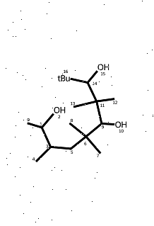 CC(O)C(C)CC(C)(C)C(O)C(C)(C)C(O)C(C)(C)C